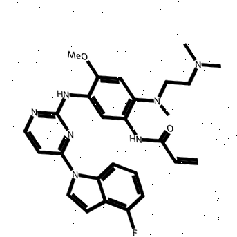 C=CC(=O)Nc1cc(Nc2nccc(-n3ccc4c(F)cccc43)n2)c(OC)cc1N(C)CCN(C)C